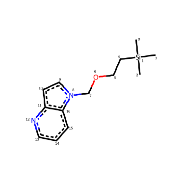 C[Si](C)(C)CCOCn1ccc2ncccc21